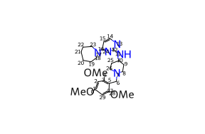 COc1cc(OC)c(CN2CCC(Nc3nccc(N4CCCCCC4)n3)CC2)c(OC)c1